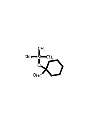 CC(C)(C)[Si](C)(C)OC1(C=O)CCCCC1